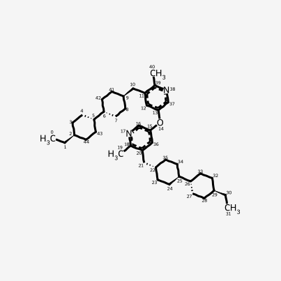 CC[C@H]1CC[C@H]([C@H]2CC[C@H](Cc3cc(Oc4cnc(C)c(C[C@H]5CC[C@H]([C@H]6CC[C@H](CC)CC6)CC5)c4)cnc3C)CC2)CC1